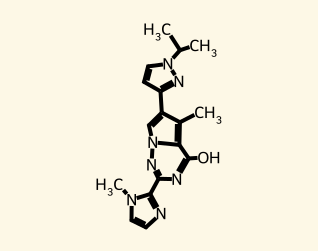 Cc1c(-c2ccn(C(C)C)n2)cn2nc(-c3nccn3C)nc(O)c12